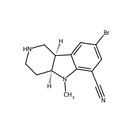 CN1c2c(C#N)cc(Br)cc2[C@@H]2CNCC[C@@H]21